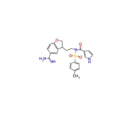 Cc1ccc(S(=O)(=O)N(CCC2COc3ccc(C(=N)N)cc32)C(=O)c2cc[nH]c2)cc1